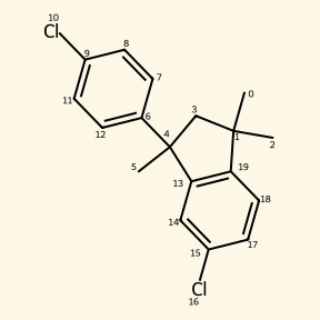 CC1(C)CC(C)(c2ccc(Cl)cc2)c2cc(Cl)ccc21